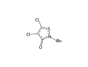 CCC(C)n1sc(Cl)c(Cl)c1=O